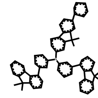 CC1(C)c2cc(-c3ccccc3)ccc2-c2ccc(N(c3cccc(-c4cccc5c4-c4ccccc4C5(C)C)c3)c3cccc(-c4cccc5c4-c4ccccc4C5(C)C)c3)cc21